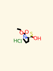 CCOC(=O)N1CCC[C@H]1C(O)=S.Cl